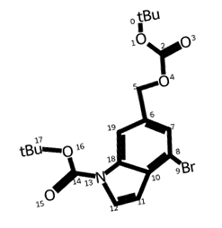 CC(C)(C)OC(=O)OCc1cc(Br)c2ccn(C(=O)OC(C)(C)C)c2c1